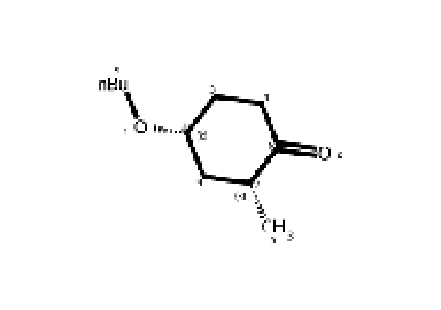 CCCCO[C@@H]1CCC(=O)[C@H](C)C1